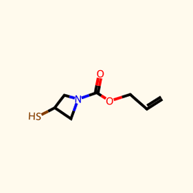 C=CCOC(=O)N1CC(S)C1